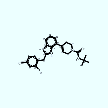 CC(C)(C)OC(=O)N1CC=C(c2cccc3nc(Cc4ccc(Cl)cc4F)oc23)CC1